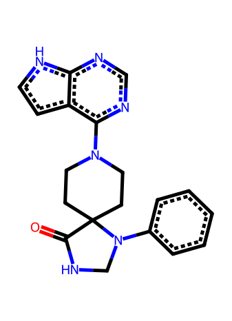 O=C1NCN(c2ccccc2)C12CCN(c1ncnc3[nH]ccc13)CC2